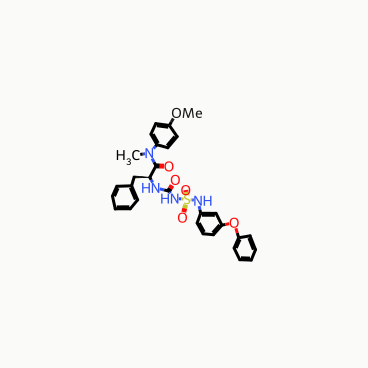 COc1ccc(N(C)C(=O)[C@H](Cc2ccccc2)NC(=O)NS(=O)(=O)Nc2cccc(Oc3ccccc3)c2)cc1